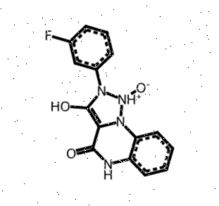 O=C1Nc2ccccc2N2C1=C(O)N(c1cccc(F)c1)[NH+]2[O-]